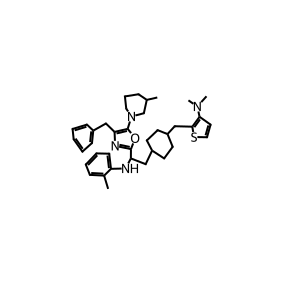 Cc1ccccc1NC(CC1CCC(Cc2sccc2N(C)C)CC1)c1nc(Cc2ccccc2)c(N2CCCC(C)C2)o1